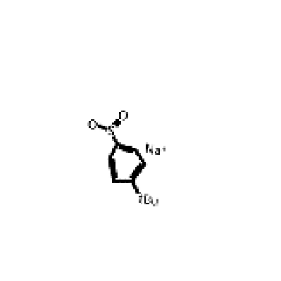 CC(C)(C)c1ccc(S(=O)[O-])cc1.[Na+]